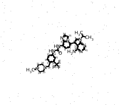 CC(C)n1cc(-c2ccc(NC(=O)Nc3ccc(CN4CCN(C)CC4)c(C(F)(F)F)c3)c3nccn23)c2c(N)ncnc21